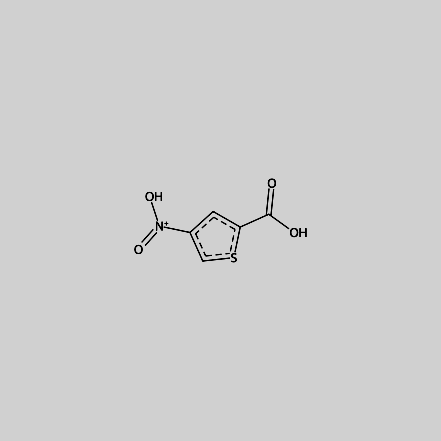 O=C(O)c1cc([N+](=O)O)cs1